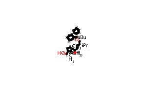 CC(C)[C@H](CC[C@H](C)C1(C)CCC(CO)C1(C)C)CO[Si](c1ccccc1)(c1ccccc1)C(C)(C)C